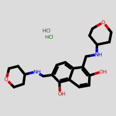 Cl.Cl.Oc1ccc2c(O)c(CNC3CCOCC3)ccc2c1CNC1CCOCC1